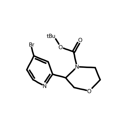 CC(C)(C)OC(=O)N1CCOCC1c1cc(Br)ccn1